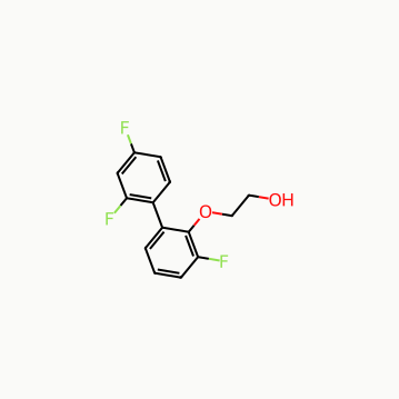 OCCOc1c(F)cccc1-c1ccc(F)cc1F